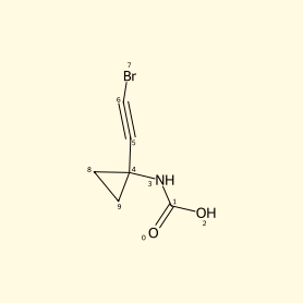 O=C(O)NC1(C#CBr)CC1